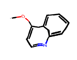 [CH2]Oc1ccnc2ccccc12